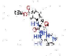 CC(C)(C)OC(=O)c1cccc(NC2(C(=O)NNC(=N)c3ccncn3)COC2)c1